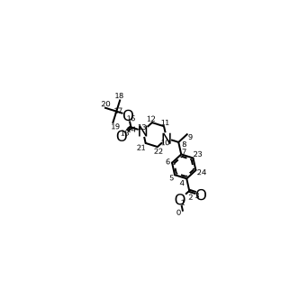 COC(=O)c1ccc(C(C)N2CCN(C(=O)OC(C)(C)C)CC2)cc1